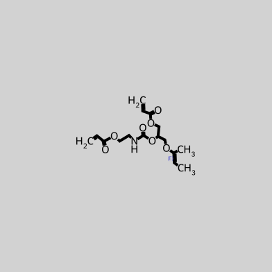 C=CC(=O)OCCNC(=O)OC(COC(=O)C=C)CO/C(C)=C/C